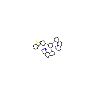 c1cnc2c(c1)ccc1cccc(-c3cc(-c4ccc5sc6ccccc6c5c4)cc(-c4cccc5ccc6cccnc6c45)c3)c12